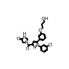 O=C1CN(C(=O)c2cc(-c3cccc(OCCCO)c3)n(-c3cccc(Cl)c3)n2)CN1